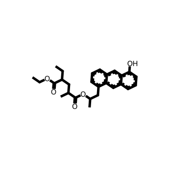 CCOC(=O)C(CC)CC(C)C(=O)OC(C)Cc1cccc2cc3c(O)cccc3cc12